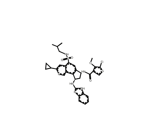 COc1c(C(=O)N[C@@H]2C[C@@H](Nc3nc4ccccc4[nH]3)c3c2cc(S(=O)(=O)NCC(C)C)c2cc(C4CC4)ncc32)csc1Cl